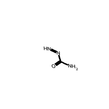 N=NC(N)=O